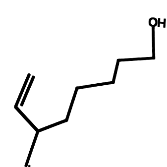 [CH2]C(C=C)CCCCCO